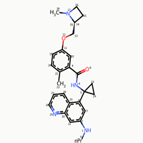 CCCNc1cc(C2(NC(=O)c3cc(OC[C@@H]4CCN4C)ccc3C)CC2)c2cccnc2c1